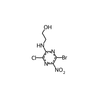 O=[N+]([O-])c1nc(Cl)c(NCCO)nc1Br